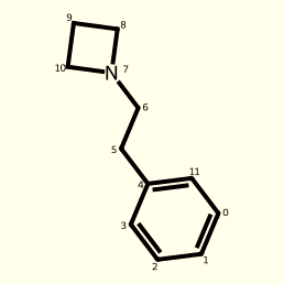 [c]1cccc(CCN2CCC2)c1